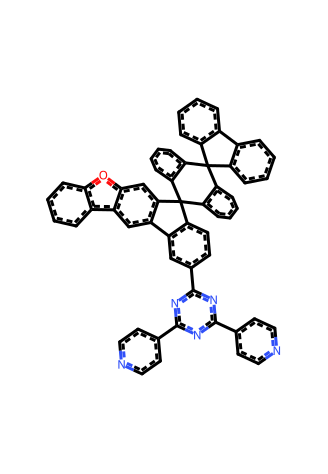 c1ccc2c(c1)-c1ccccc1C21c2ccccc2C2(c3ccc(-c4nc(-c5ccncc5)nc(-c5ccncc5)n4)cc3-c3cc4c(cc32)oc2ccccc24)c2ccccc21